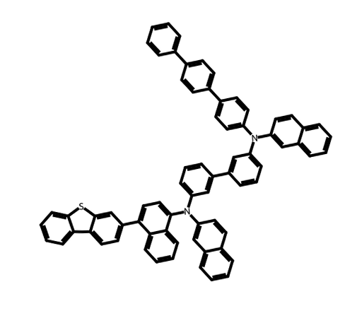 c1ccc(-c2ccc(-c3ccc(N(c4cccc(-c5cccc(N(c6ccc7ccccc7c6)c6ccc(-c7ccc8c(c7)sc7ccccc78)c7ccccc67)c5)c4)c4ccc5ccccc5c4)cc3)cc2)cc1